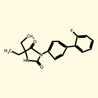 CCC1(CC)NC(=O)N(c2ccc(-c3ccccc3F)cc2)C1=O